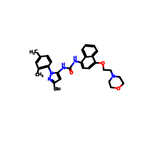 Cc1ccc(-n2nc(C(C)(C)C)cc2NC(=O)Nc2ccc(OCCN3CCOCC3)c3ccccc23)c(C)c1